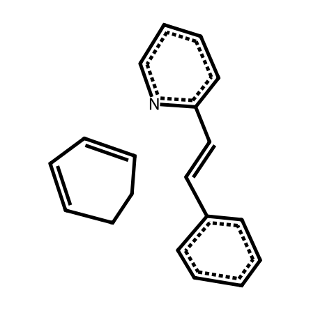 C(=Cc1ccccn1)c1ccccc1.C1=CCCC=C1